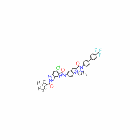 CC(C)C(=O)NCc1ccc(Cl)c(C(=O)Nc2ccc3c(c2)cc(C(=O)Nc2ccc(-c4ccc(C(F)(F)F)cc4)cc2)n3C)c1